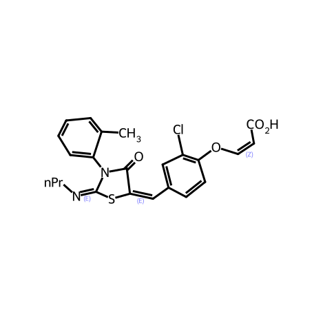 CCC/N=C1/S/C(=C/c2ccc(O/C=C\C(=O)O)c(Cl)c2)C(=O)N1c1ccccc1C